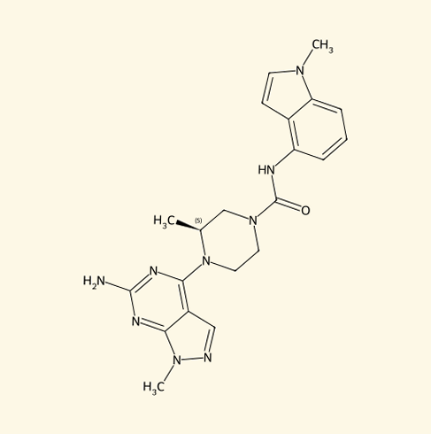 C[C@H]1CN(C(=O)Nc2cccc3c2ccn3C)CCN1c1nc(N)nc2c1cnn2C